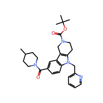 CC1CCN(C(=O)c2ccc3c(c2)c2c(n3Cc3ccccn3)CCN(C(=O)OC(C)(C)C)C2)CC1